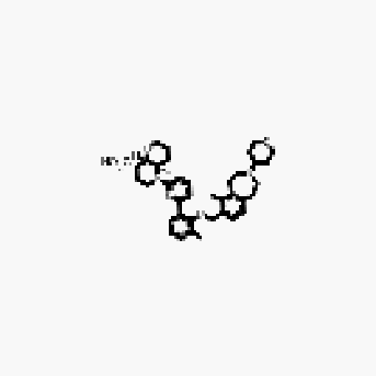 Cc1cccc(-c2cccc(N3CC[C@H](C(=O)O)[C@@H]4OCCC[C@H]43)n2)c1OCc1ccc2c(c1C)CCN(C1CCOCC1)CC2